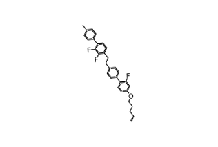 C=CCCCOc1ccc(-c2ccc(CCc3ccc(-c4ccc(C)cc4)c(F)c3F)cc2)c(F)c1